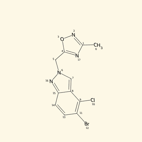 Cc1noc(Cn2cc3c(Cl)c(Br)ccc3n2)n1